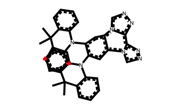 CC1(C)c2ccccc2N(c2cc3c(cc2N2c4ccccc4C(C)(C)c4ccccc42)n2cnnc2c2nncn32)c2ccccc21